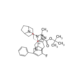 Cc1nc2c(n1C1CC3CCC(C1)N3CC[C@H](NC(=O)OC(C)(C)C)c1cccc(F)c1)CN(Cc1ccccc1)CC2